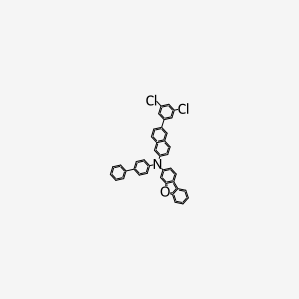 Clc1cc(Cl)cc(-c2ccc3cc(N(c4ccc(-c5ccccc5)cc4)c4ccc5c(c4)oc4ccccc45)ccc3c2)c1